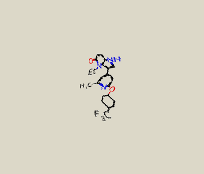 CCn1c(=O)ccc2[nH]cc(-c3cc(C)nc(OC4CCC(C(F)(F)F)CC4)c3)c21